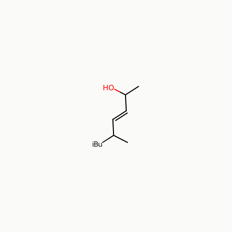 CCC(C)C(C)C=CC(C)O